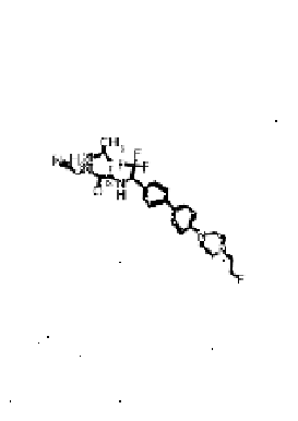 CC(C)C[C@H](NC(c1ccc(-c2ccc(N3CCN(CCF)CC3)cc2)cc1)C(F)(F)F)C(=O)NCC#N